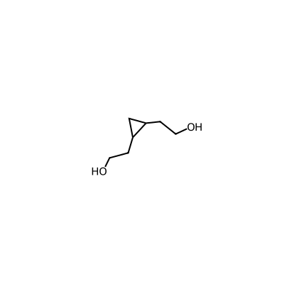 OCCC1CC1CCO